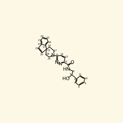 O=C(NCC(O)c1ccccc1)c1ccc(N2CCC3(C=Cc4ccccc43)CC2)nn1